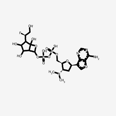 CN(C)[C@H]1C[C@H](c2coc3c(N)ncnc23)O[C@@H]1COP(=O)(S)OP(=O)(O)OC1OC2(O)C1C(O)C(O)C2[C@@H](F)CO